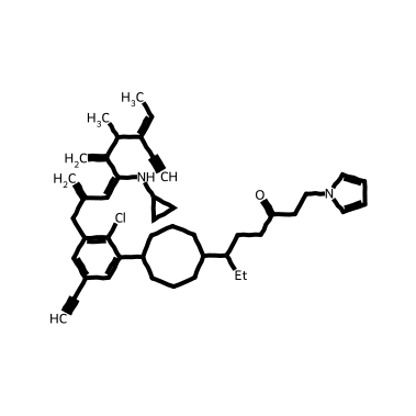 C#C/C(=C/C)C(C)C(=C)/C(=C\C(=C)Cc1cc(C#C)cc(C2CCCC(C(CC)CCC(=O)CCn3cccc3)CCC2)c1Cl)NC1CC1